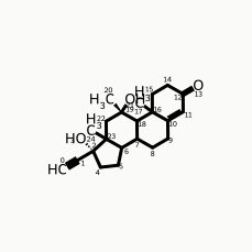 C#C[C@]1(O)CCC2C3CCC4=CC(=O)CCC4(C)C3[C@@](C)(O)CC21C